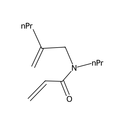 C=CC(=O)N(CCC)CC(=C)CCC